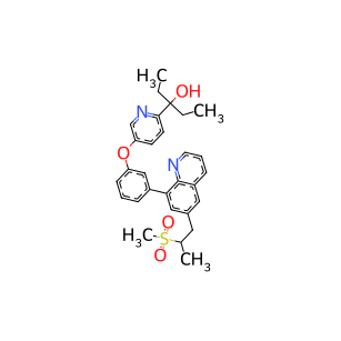 CCC(O)(CC)c1ccc(Oc2cccc(-c3cc(CC(C)S(C)(=O)=O)cc4cccnc34)c2)cn1